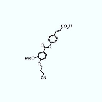 COc1cc(C(=O)Oc2ccc(/C=C/C(=O)O)cc2)ccc1OCCCC#N